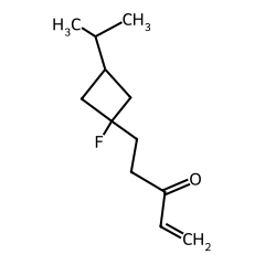 C=CC(=O)CCC1(F)CC(C(C)C)C1